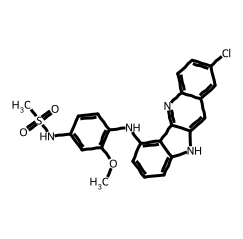 COc1cc(NS(C)(=O)=O)ccc1Nc1cccc2[nH]c3cc4cc(Cl)ccc4nc3c12